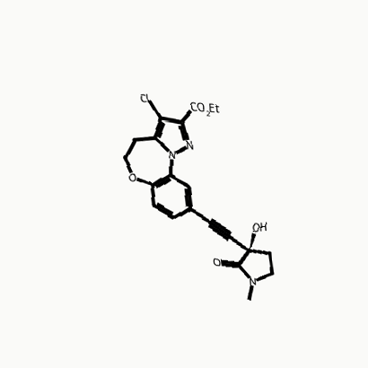 CCOC(=O)c1nn2c(c1Cl)CCOc1ccc(C#C[C@]3(O)CCN(C)C3=O)cc1-2